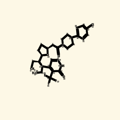 CC[C@@H]([C@H]1CC[C@@H](CC(=O)N2CCN(c3ncc(Cl)cn3)CC2)O1)N(CC)c1cn[nH]c(=O)c1C(F)(F)F